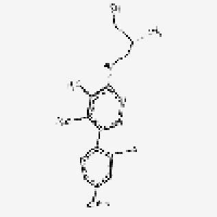 Cc1c(NC[C@@H](C)CO)nnc(-c2ccc(C(F)(F)F)cc2O)c1C